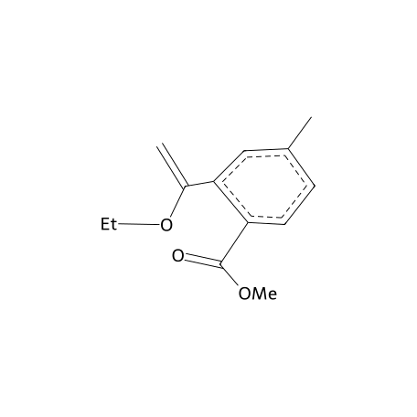 C=C(OCC)c1cc(C)ccc1C(=O)OC